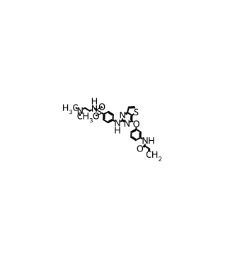 C=CC(=O)Nc1cccc(Oc2nc(Nc3ccc(S(=O)(=O)NCCN(C)C)cc3)nc3ccsc23)c1